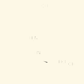 CC(C)C[C@@H](/C=C/c1ccccc1)NC[C@H](N)Cc1ccc(O)cc1.Cl.Cl